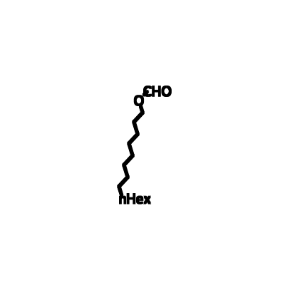 CCCCCCCCCCCCCCOC=O